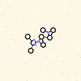 c1ccc(-c2cc(-c3ccccc3)nc(-n3c4ccccc4c4c(-c5cccc6c7ccccc7n(-c7ccccc7)c56)cccc43)n2)cc1